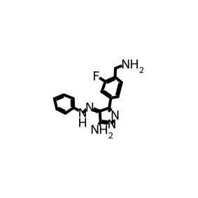 NCc1ccc(C2=NN=C(N)C2=NNc2ccccc2)cc1F